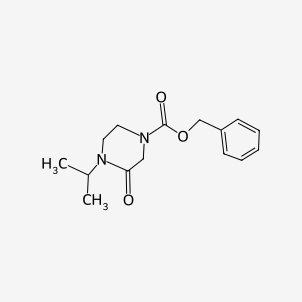 CC(C)N1CCN(C(=O)OCc2ccccc2)CC1=O